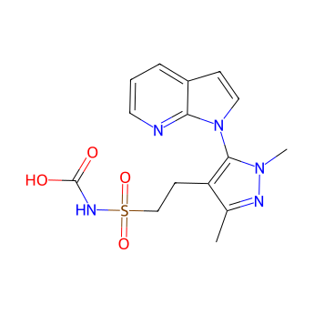 Cc1nn(C)c(-n2ccc3cccnc32)c1CCS(=O)(=O)NC(=O)O